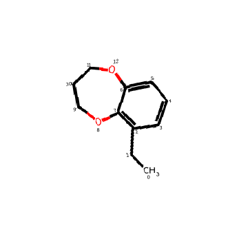 CCc1cccc2c1OCCCO2